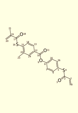 C=CC(=O)Sc1ccc(OC(=O)c2ccc(SC(=O)C(=C)C)c(C)c2)cc1